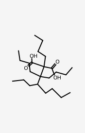 CCCCC(CCC)C(CCCC)(CCCC)C(CCCC)(C(=O)O)C(=O)O